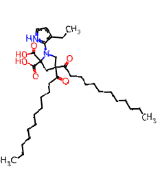 CCCCCCCCCCCC(=O)C1(C(=O)CCCCCCCCCCC)CN(c2[nH]ccc2CC)C(C(=O)O)(C(=O)O)C1